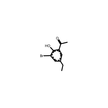 CCc1cc(Br)c(O)c(C(C)=O)c1